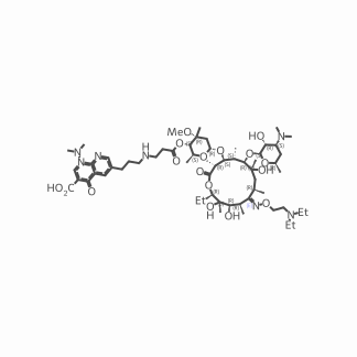 CC[C@H]1OC(=O)[C@H](C)[C@@H](O[C@H]2C[C@@](C)(OC)[C@@H](OC(=O)CCNCCCc3cnc4c(c3)c(=O)c(C(=O)O)cn4N(C)C)[C@H](C)O2)[C@H](C)[C@@H](O[C@@H]2O[C@H](C)C[C@H](N(C)C)[C@H]2O)[C@](C)(O)C[C@@H](C)/C(=N\OCCN(CC)CC)[C@@H](C)[C@@H](O)[C@]1(C)O